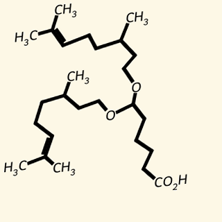 CC(C)=CCCC(C)CCOC(CCCCC(=O)O)OCCC(C)CCC=C(C)C